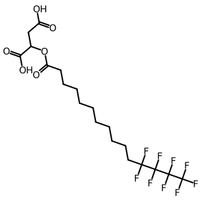 O=C(O)CC(OC(=O)CCCCCCCCCCC(F)(F)C(F)(F)C(F)(F)C(F)(F)F)C(=O)O